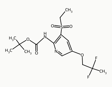 CCS(=O)(=O)c1cc(OCC(C)(F)F)cnc1NC(=O)OC(C)(C)C